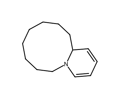 C1=CC2CCCCCCCCN2C=C1